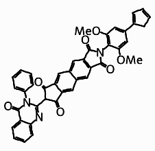 COc1cc(C2=CC=CC2)cc(OC)c1N1C(=O)c2cc3cc4c(cc3cc2C1=O)C(=O)C(c1nc2ccccc2c(=O)n1-c1ccccc1)C4=O